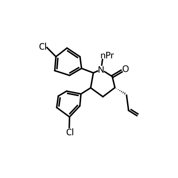 C=CC[C@@H]1CC(c2cccc(Cl)c2)C(c2ccc(Cl)cc2)N(CCC)C1=O